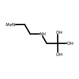 CNCCNCC(O)(O)O